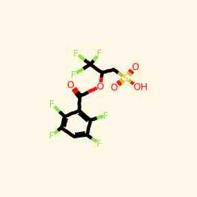 O=C(OC(CS(=O)(=O)O)C(F)(F)F)c1c(F)c(F)cc(F)c1F